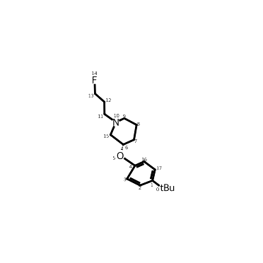 CC(C)(C)c1ccc(O[C@H]2CCCN(CCCF)C2)cc1